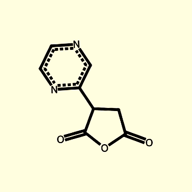 O=C1CC(c2cnccn2)C(=O)O1